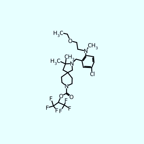 CCOCCN(C)c1ccc(Cl)cc1CN1CC2(CCN(C(=O)OC(C(F)(F)F)C(F)(F)F)CC2)CC1(C)C